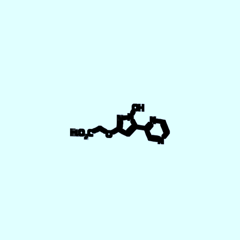 CCOC(=O)COc1cc(-c2cnccn2)n(O)n1